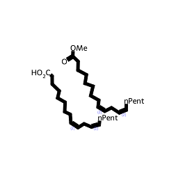 CCCCC/C=C\C/C=C\CCCCCCCC(=O)O.CCCCC/C=C\C/C=C\CCCCCCCC(=O)OC